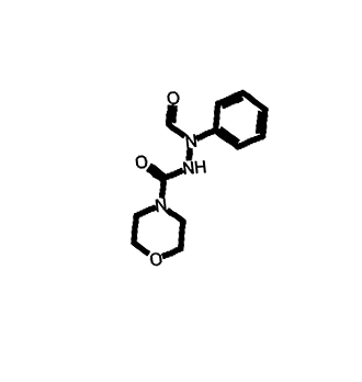 O=CN(NC(=O)N1CCOCC1)c1ccccc1